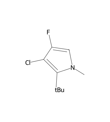 Cn1cc(F)c(Cl)c1C(C)(C)C